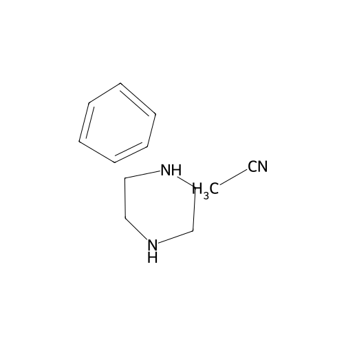 C1CNCCN1.CC#N.c1ccccc1